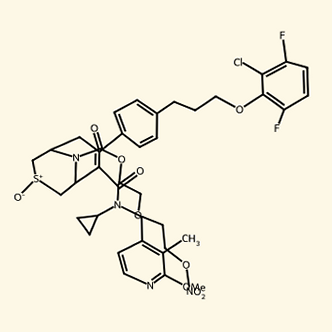 COc1nccc(CN(C(=O)C2=C(c3ccc(CCCOc4c(F)ccc(F)c4Cl)cc3)CC3C[S+]([O-])CC2N3C(=O)OCCOCCO[N+](=O)[O-])C2CC2)c1C